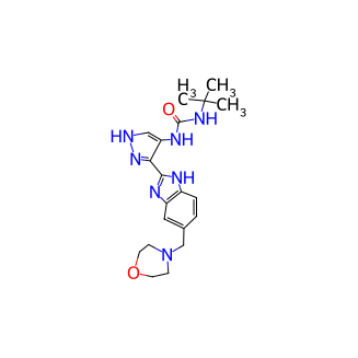 CC(C)(C)NC(=O)Nc1c[nH]nc1-c1nc2cc(CN3CCOCC3)ccc2[nH]1